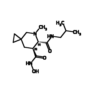 CC(C)CNC(=O)[C@@H]1[C@@H](C(=O)NO)CC2(CC2)CN1C